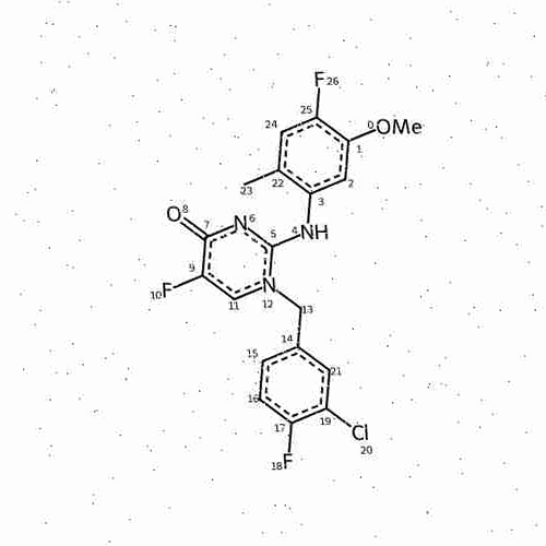 COc1cc(Nc2nc(=O)c(F)cn2Cc2ccc(F)c(Cl)c2)c(C)cc1F